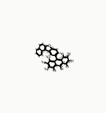 [2H]c1c([2H])c([2H])c2c(-c3ccc4oc5ccc6ccccc6c5c4c3)c3c([2H])c([2H])c([2H])c([2H])c3c(Br)c2c1[2H]